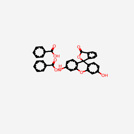 O=C(O)c1ccccc1.O=C(O)c1ccccc1.O=C1OC2(c3ccc(O)cc3Oc3cc(O)ccc32)c2ccccc21